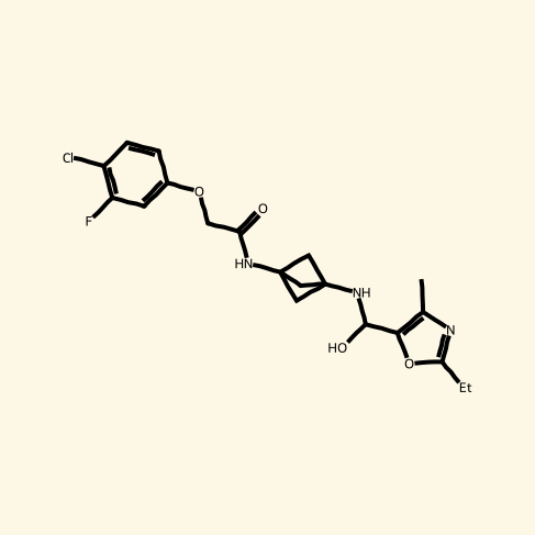 CCc1nc(C)c(C(O)NC23CC(NC(=O)COc4ccc(Cl)c(F)c4)(C2)C3)o1